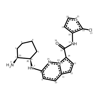 N[C@H]1CCCC[C@H]1Nc1ccc2ccc(C(=O)Nc3ccsc3Cl)n2n1